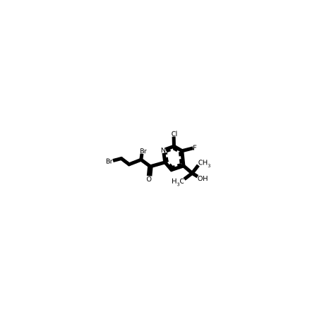 CC(C)(O)c1cc(C(=O)C(Br)CCBr)nc(Cl)c1F